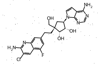 Nc1nc2cc(CC[C@@]3(CO)C[C@@H](n4ccc5c(N)ncnc54)[C@H](O)[C@@H]3O)cc(F)c2cc1Cl